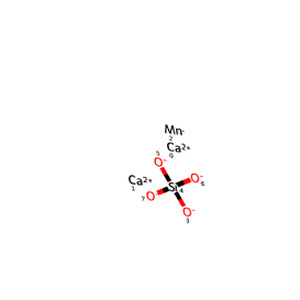 [Ca+2].[Ca+2].[Mn].[O-][Si]([O-])([O-])[O-]